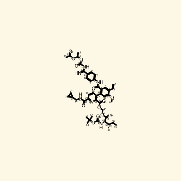 C=Cc1cc(C(=O)Nc2ccc(C(=N)NC(=O)OC(C)OC(C)=O)cc2)c(-c2ccc(C(=O)NCC3CC3)nc2C(=O)OCOC(=O)[C@@H](NC(=O)OC(C)(C)C)[C@@H](C)CC)cc1OC